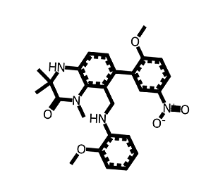 COc1ccccc1NCc1c(-c2cc([N+](=O)[O-])ccc2OC)ccc2c1N(C)C(=O)C(C)(C)N2